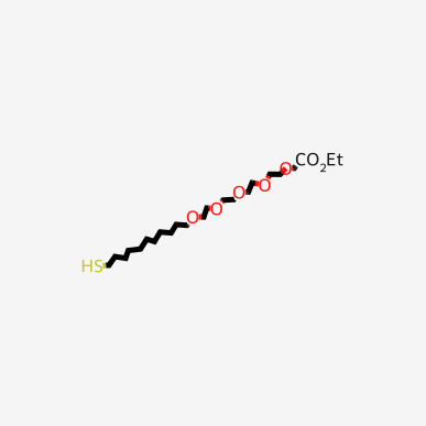 CCOC(=O)COCCOCCOCCOCCOCCCCCCCCCCCS